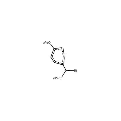 CCCCCC(CC)c1ccc(OC)cc1